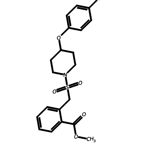 COC(=O)c1ccccc1CS(=O)(=O)N1CCC(Oc2ccc(Cl)cc2)CC1